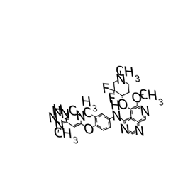 C=N/C(=C\c1nnnn1C)Oc1ccc(Nc2ncnc3cnc(OC)c(O[C@H]4CCN(C)CC4(F)F)c23)cc1C